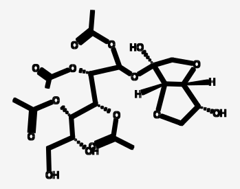 CC(=O)OC(O[C@@]1(O)CO[C@@H]2[C@H](O)CO[C@@H]21)[C@@H](OC(C)=O)[C@H](OC(C)=O)[C@@H](OC(C)=O)[C@H](O)CO